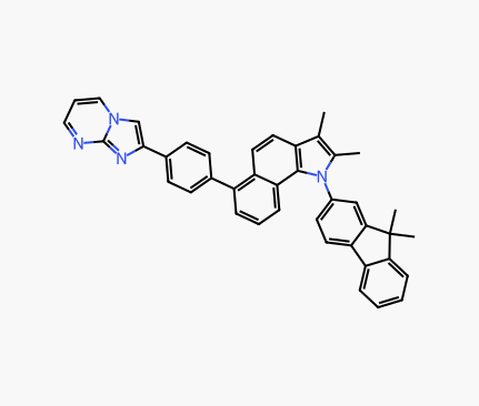 Cc1c(C)n(-c2ccc3c(c2)C(C)(C)c2ccccc2-3)c2c1ccc1c(-c3ccc(-c4cn5cccnc5n4)cc3)cccc12